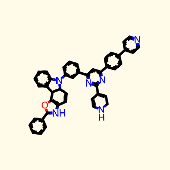 C1=CC(c2nc(-c3ccc(-c4ccncc4)cc3)cc(-c3cccc(N4c5ccccc5C5C6=C(C=CC54)NC(c4ccccc4)O6)c3)n2)=CCN1